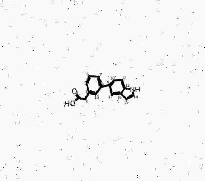 O=C(O)Cc1cccc(-c2ccc3[nH]ccc3c2)c1